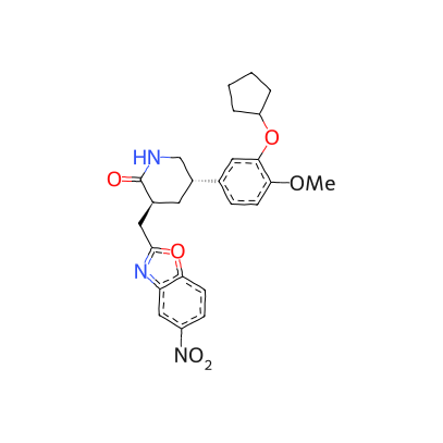 COc1ccc([C@H]2CNC(=O)[C@H](Cc3nc4cc([N+](=O)[O-])ccc4o3)C2)cc1OC1CCCC1